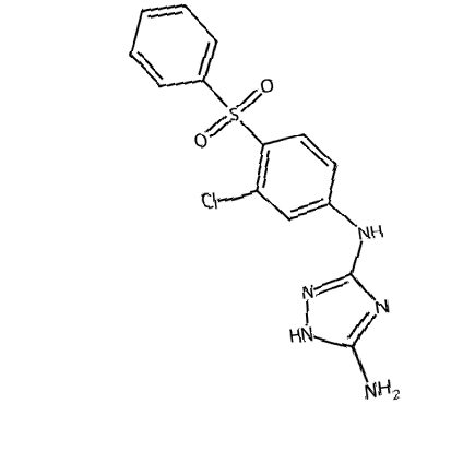 Nc1nc(Nc2ccc(S(=O)(=O)c3ccccc3)c(Cl)c2)n[nH]1